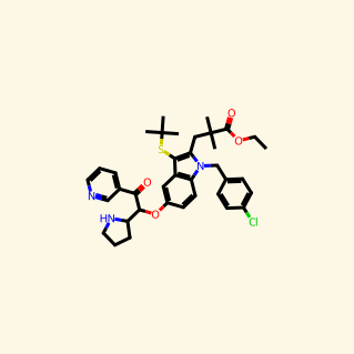 CCOC(=O)C(C)(C)Cc1c(SC(C)(C)C)c2cc(OC(C(=O)c3cccnc3)C3CCCN3)ccc2n1Cc1ccc(Cl)cc1